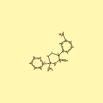 Bc1cccc(N2CCC(C)(c3ccccc3)OC2=O)c1